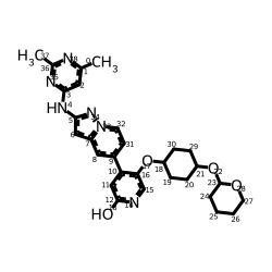 Cc1cc(Nc2cc3cc(-c4cc(O)ncc4OC4CCC(OC5CCCCO5)CC4)ccn3n2)nc(C)n1